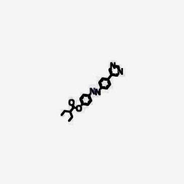 CCC(CC)C(=O)Oc1ccc(/N=N/c2ccc(-c3cncnc3)cc2)cc1